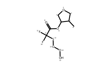 CC1COCC1OC(=O)C(F)(F)SOOO